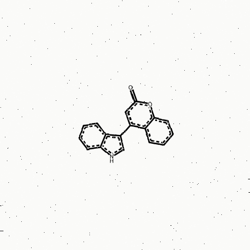 O=c1cc(-c2c[nH]c3ccccc23)c2ccccc2o1